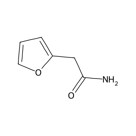 NC(=O)Cc1ccco1